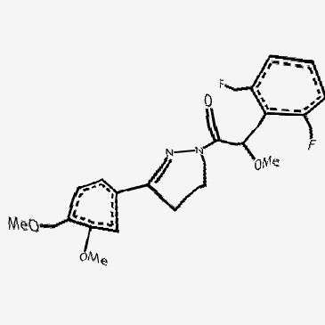 COc1ccc(C2=NN(C(=O)C(OC)c3c(F)cccc3F)CC2)cc1OC